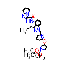 CCc1nn(Cc2cccc(OC3CCN(C(=O)OC(C)(C)C)C3)n2)c2cccc(NC(=O)c3cnc4ccccn34)c12